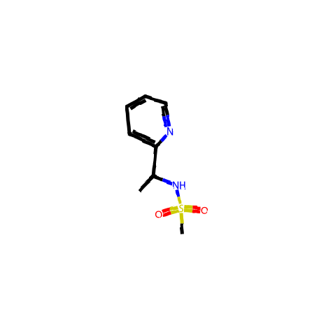 CC(NS(C)(=O)=O)c1ccccn1